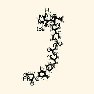 CC(C)(C)n1nc(-c2noc(C3CC3)c2-c2ncc(C3CCN(C(=O)OCC(=O)N4CCC(CN5CCN(c6c(F)cc(O[C@@H]7CCC(=O)NC7=O)cc6F)CC5)CC4)CC3)cn2)c2c(N)ncnc21